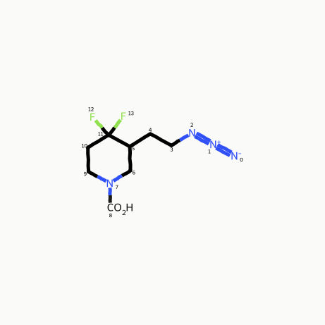 [N-]=[N+]=NCCC1CN(C(=O)O)CCC1(F)F